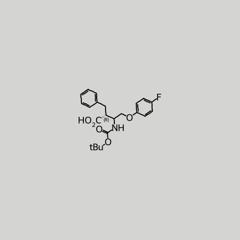 CC(C)(C)OC(=O)NC(COc1ccc(F)cc1)[C@@H](Cc1ccccc1)C(=O)O